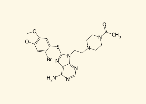 CC(=O)N1CCN(CCn2c(Sc3cc4c(cc3Br)OCO4)nc3c(N)ncnc32)CC1